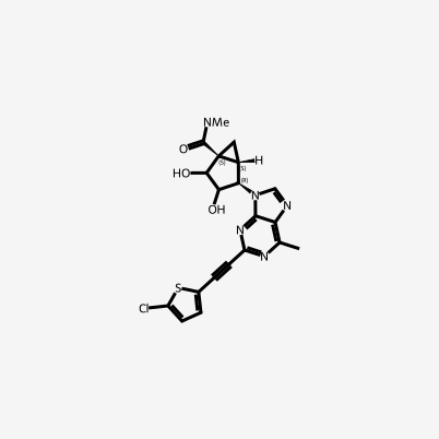 CNC(=O)[C@@]12C[C@@H]1[C@@H](n1cnc3c(C)nc(C#Cc4ccc(Cl)s4)nc31)C(O)C2O